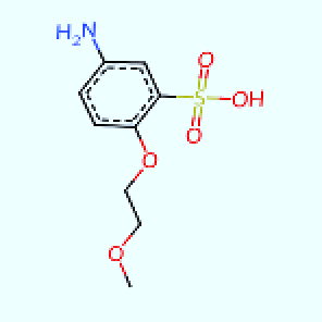 COCCOc1ccc(N)cc1S(=O)(=O)O